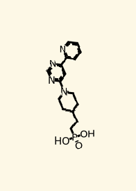 O=P(O)(O)CCC1CCN(c2cc(-c3ccccn3)ncn2)CC1